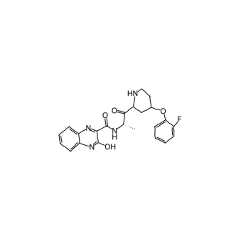 C[C@H](NC(=O)c1nc2ccccc2nc1O)C(=O)C1CC(Oc2ccccc2F)CCN1